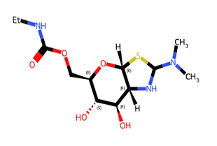 CCNC(=O)OC[C@H]1O[C@@H]2SC(N(C)C)N[C@@H]2[C@@H](O)[C@@H]1O